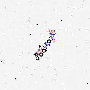 C[C@@H](CO[Si](c1ccccc1)(c1ccccc1)C(C)(C)C)Oc1cccc2cc(-c3nc4cc5c(cc4n3C)CCN(C[C@@H](CF)NC(=O)O)C5=O)n(CC3CC3)c12